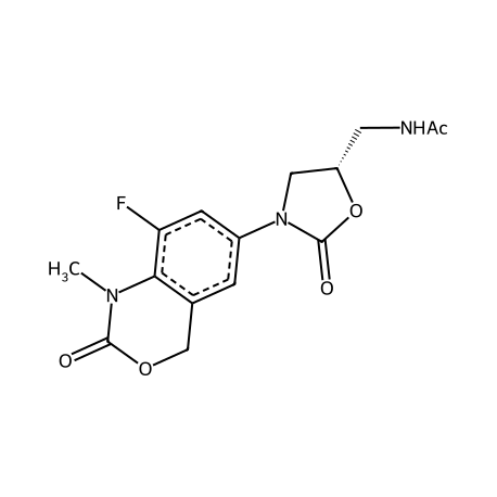 CC(=O)NC[C@H]1CN(c2cc(F)c3c(c2)COC(=O)N3C)C(=O)O1